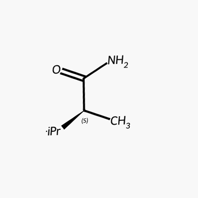 C[C](C)[C@H](C)C(N)=O